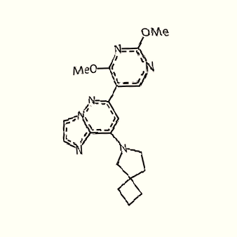 COc1ncc(-c2cc(N3CCC4(CCC4)C3)c3nccn3n2)c(OC)n1